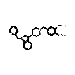 COc1ccc(CN2CCC(c3cn(Cc4ccccn4)c4ccccc34)CC2)cc1C(=O)O